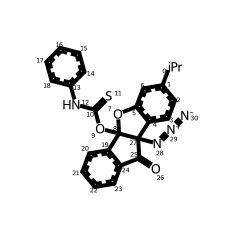 CC(C)c1ccc2c(c1)OC1(OC(=S)Nc3ccccc3)c3ccccc3C(=O)C21N=[N+]=[N-]